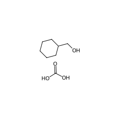 O=C(O)O.OCC1CCCCC1